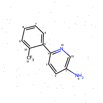 Nc1ccc(-c2ccccc2C(F)(F)F)nc1